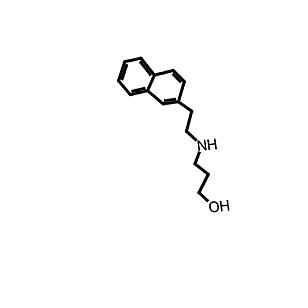 OCCCNCCc1ccc2ccccc2c1